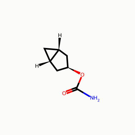 NC(=O)O[C@H]1C[C@@H]2C[C@@H]2C1